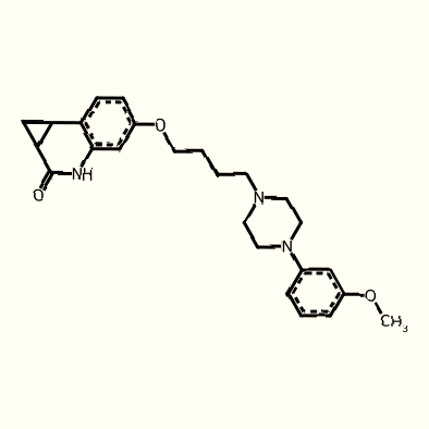 COc1cccc(N2CCN(CCCCOc3ccc4c(c3)NC(=O)C3CC43)CC2)c1